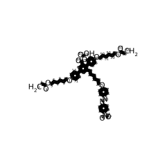 C=CC(=O)OCCCCCCOc1ccc(-c2cc(CCCCCCOc3ccc(N=Nc4ccc([N+](=O)[O-])cc4)cc3)c(-c3ccc(OCCCCCCOC(=O)C=C)cc3)c(C(=O)OC(=O)O)c2)cc1